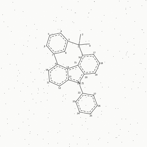 CC1(C)c2cccc(c2)-c2cccc3c2c2c1cccc2n3-c1ccccc1